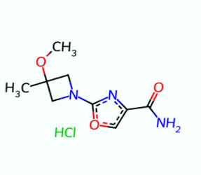 COC1(C)CN(c2nc(C(N)=O)co2)C1.Cl